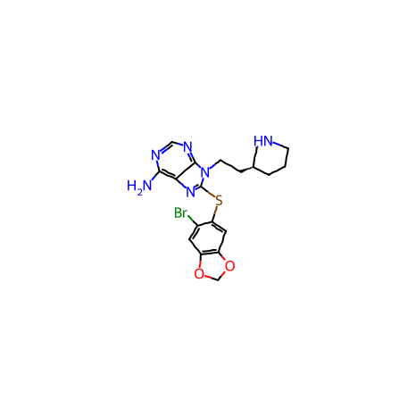 Nc1ncnc2c1nc(Sc1cc3c(cc1Br)OCO3)n2CC[C@@H]1CCCNC1